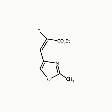 CCOC(=O)/C(F)=C\c1coc(C)n1